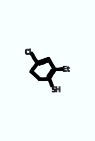 CCC1=C(S)CCC(Cl)=C1